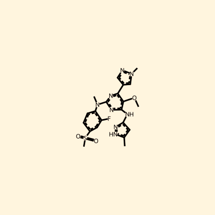 COc1c(Nc2cc(C)[nH]n2)nc(N(C)c2ccc(S(C)(=O)=O)cc2F)nc1-c1cnn(C)c1